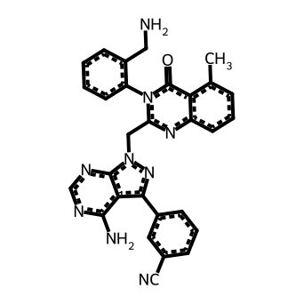 Cc1cccc2nc(Cn3nc(-c4cccc(C#N)c4)c4c(N)ncnc43)n(-c3ccccc3CN)c(=O)c12